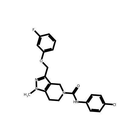 Cn1nc(COc2cccc(F)c2)c2c1CCN(C(=O)Nc1ccc(Cl)cc1)C2